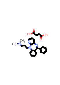 CN(C)CCCN1c2ccccc2C(c2ccccc2)=Nc2cccnc21.O=C(O)C=CC(=O)O